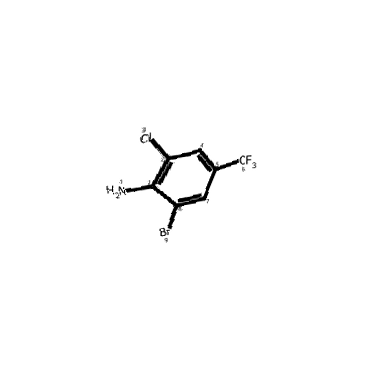 Nc1c(Cl)cc(C(F)(F)F)cc1Br